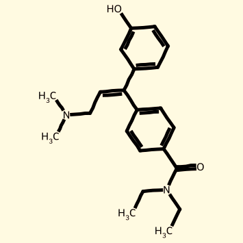 CCN(CC)C(=O)c1ccc(/C(=C\CN(C)C)c2cccc(O)c2)cc1